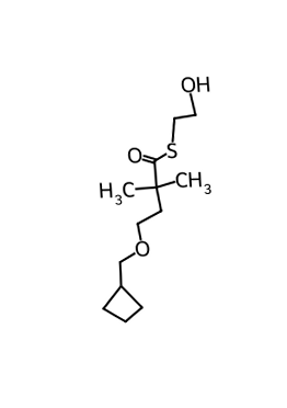 CC(C)(CCOCC1CCC1)C(=O)SCCO